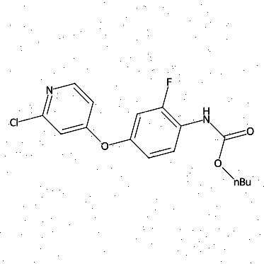 CCCCOC(=O)Nc1ccc(Oc2ccnc(Cl)c2)cc1F